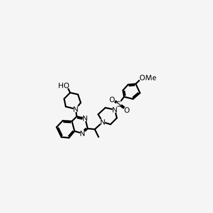 COc1ccc(S(=O)(=O)N2CCN(C(C)c3nc(N4CCC(O)CC4)c4ccccc4n3)CC2)cc1